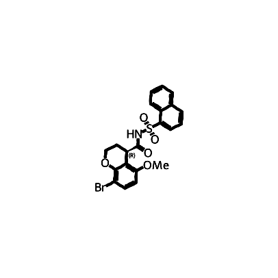 COc1ccc(Br)c2c1[C@H](C(=O)NS(=O)(=O)c1cccc3ccccc13)CCO2